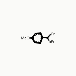 CCCC(c1ccc(OC)cc1)C(C)C